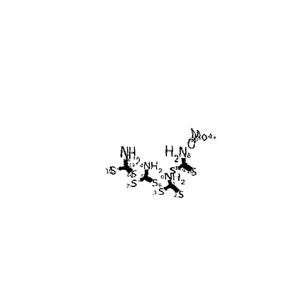 NC(=S)[S-].NC(=S)[S-].NC(=S)[S-].NC(=S)[S-].[O]=[Mo+4]